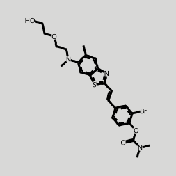 Cc1cc2nc(C=Cc3ccc(OC(=O)N(C)C)c(Br)c3)sc2cc1N(C)CCOCCO